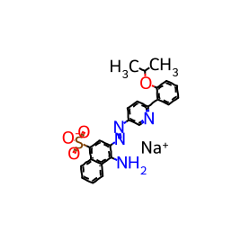 CC(C)Oc1ccccc1-c1ccc(N=Nc2cc(S(=O)(=O)[O-])c3ccccc3c2N)cn1.[Na+]